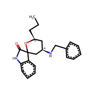 CCC[C@H]1C[C@@H](NCc2ccccc2)CC2(O1)C(=O)Nc1ccccc12